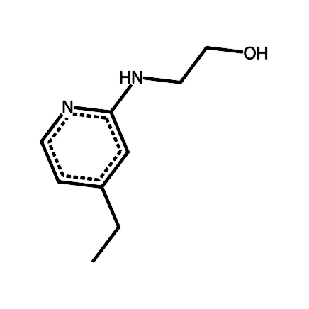 CCc1ccnc(NCCO)c1